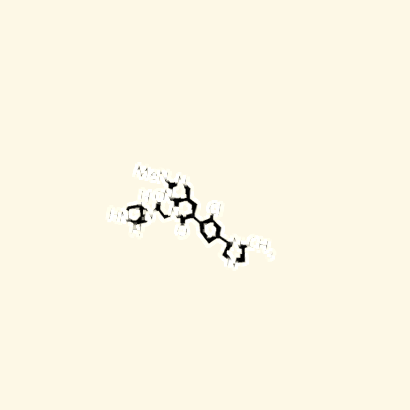 CNc1ncc2cc(-c3ccc(-c4cncc(C)n4)cc3Cl)c(=O)n(CC(=O)N3C[C@@H]4C[C@H]3CN4)c2n1